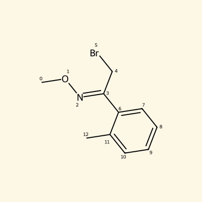 CON=C(CBr)c1ccccc1C